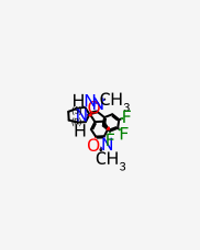 Cc1nc2ccc(C(=O)N3[C@@H]4CC[C@H]3c3nn(C)c(-c5cc(F)c(F)c(F)c5)c3C4)cc2o1